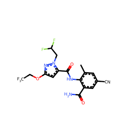 Cc1cc(C#N)cc(C(N)=O)c1NC(=O)c1cc(OCC(F)(F)F)nn1CC(F)F